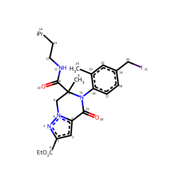 CCOC(=O)c1cc2n(n1)CC(C)(C(=O)NCCC(C)C)N(c1ccc(CI)cc1C)C2=O